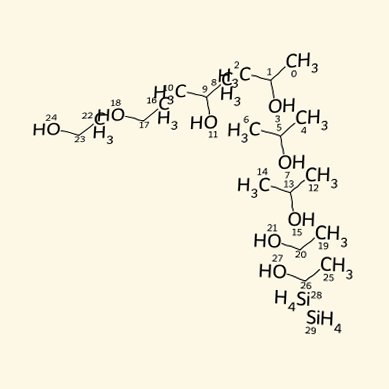 CC(C)O.CC(C)O.CC(C)O.CC(C)O.CCO.CCO.CCO.CCO.[SiH4].[SiH4]